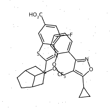 O=C(O)c1cc(F)c2nc(SC3C4CCC3CC(OCc3c(-c5ccccc5OC(F)(F)F)noc3C3CC3)C4)sc2c1